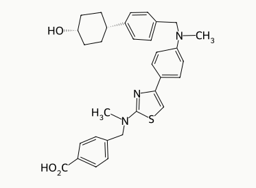 CN(Cc1ccc([C@H]2CC[C@@H](O)CC2)cc1)c1ccc(-c2csc(N(C)Cc3ccc(C(=O)O)cc3)n2)cc1